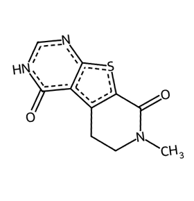 CN1CCc2c(sc3nc[nH]c(=O)c23)C1=O